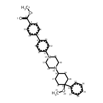 COC(=O)c1ccc(-c2ccc(N3CCN(C4CCC(OC)(c5ccccc5)CC4)CC3)cc2)cc1